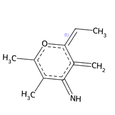 C=c1c(=N)c(C)c(C)o/c1=C/C